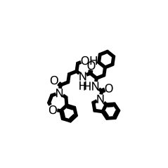 O=C(NC(CO)CCC(=O)N1CCOc2ccccc2C1)C(CC1CCCCC1)NC(=O)N1CCc2ccccc21